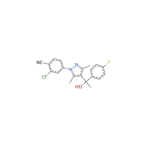 Cc1nn(-c2ccc(C#N)c(Cl)c2)c(C)c1C(C)(O)c1ccc(F)cc1